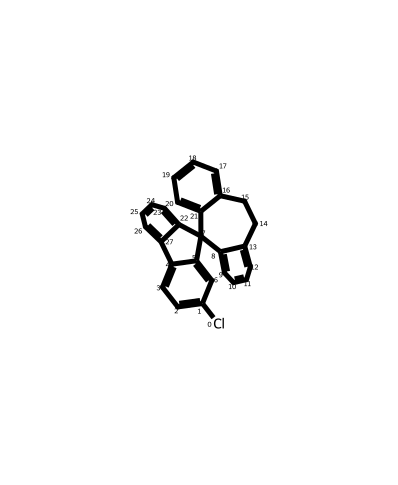 Clc1ccc2c(c1)C1(c3ccccc3CCc3ccccc31)c1ccccc1-2